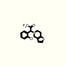 O=C(C(c1ccccc1Cl)N1CCc2sccc2C1)C(F)(F)F